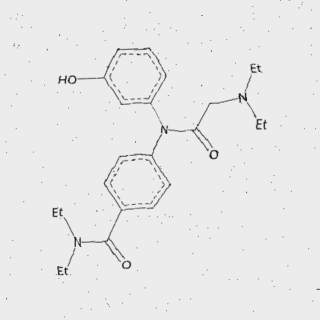 CCN(CC)CC(=O)N(c1ccc(C(=O)N(CC)CC)cc1)c1cccc(O)c1